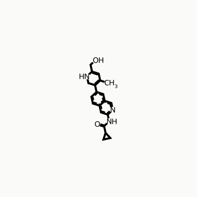 CC1=C(c2ccc3cc(NC(=O)C4CC4)ncc3c2)CNC(CO)=C1